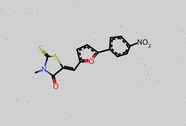 CN1C(=O)/C(=C/c2ccc(-c3ccc([N+](=O)[O-])cc3)o2)SC1=S